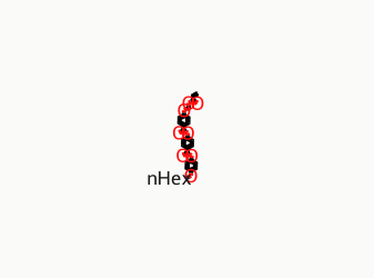 C=CC(=O)OCOc1ccc(C(=O)Oc2ccc(C(=O)Oc3ccc(OCCCCCC)cc3)cc2)cc1